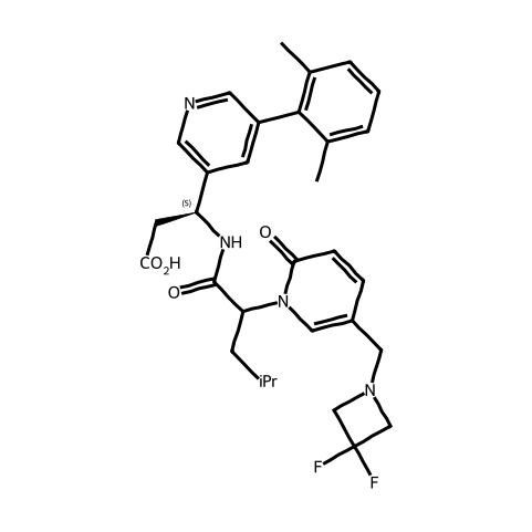 Cc1cccc(C)c1-c1cncc([C@H](CC(=O)O)NC(=O)C(CC(C)C)n2cc(CN3CC(F)(F)C3)ccc2=O)c1